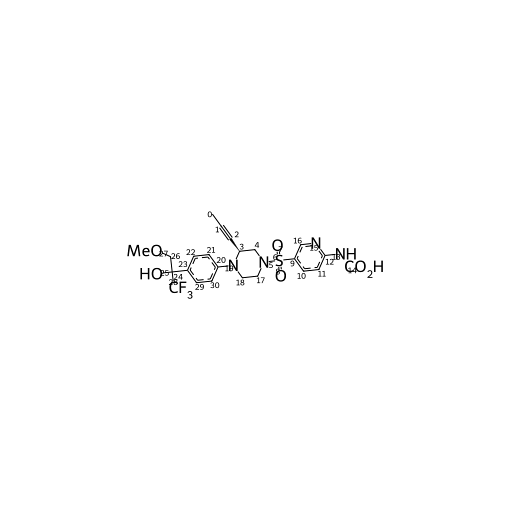 CC#C[C@H]1CN(S(=O)(=O)c2ccc(NC(=O)O)nc2)CCN1c1ccc(C(O)(COC)C(F)(F)F)cc1